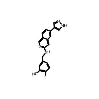 N#Cc1cc(CNc2cc3cc(-c4cn[nH]c4)ccc3cn2)ccc1F